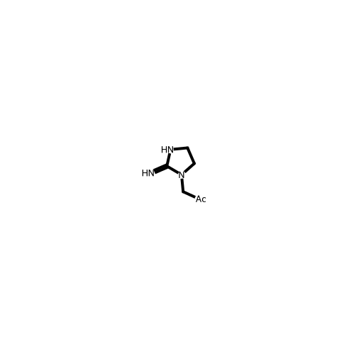 CC(=O)CN1CCNC1=N